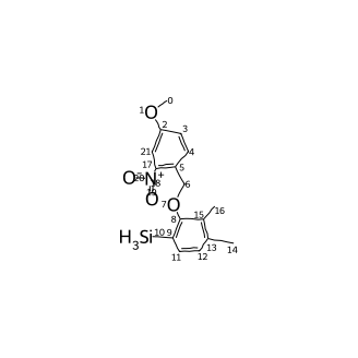 COc1ccc(COc2c([SiH3])ccc(C)c2C)c([N+](=O)[O-])c1